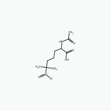 CC(=O)NC(CCCC(C)(C)[N+](=O)[O-])C(=O)O